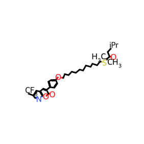 CC(C)CCC(=O)C(C)(C)SCCCCCCCCCCCCOc1ccc(-c2cc3cc(CC(F)(F)F)cnc3oc2=O)cc1